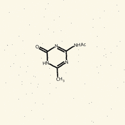 CC(=O)Nc1nc(C)[nH]c(=O)n1